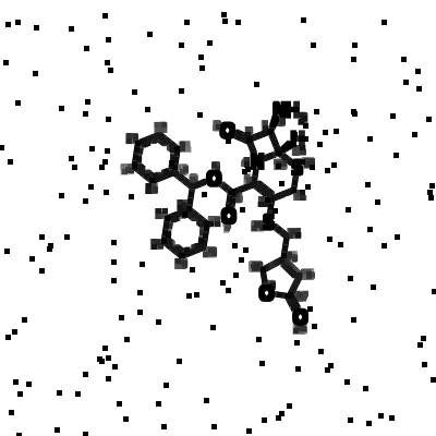 N[C@@H]1C(=O)N2C(C(=O)OC(c3ccccc3)c3ccccc3)=C(SCC3=CC(=O)OC3)CS[C@@H]12